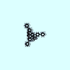 c1ccc(-c2ccc3c(c2)SB2Sc4cc(-c5ccccc5)cc5c4-c4c2c-3cc2c4B(Sc3cc(-c4ccccc4)ccc3-2)S5)cc1